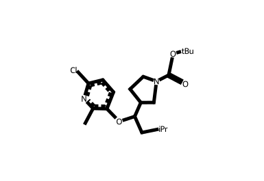 Cc1nc(Cl)ccc1OC(CC(C)C)C1CCN(C(=O)OC(C)(C)C)C1